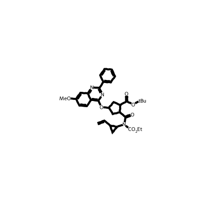 C=CC1CC1N(C(=O)OCC)C(=O)C1CC(Oc2nc(-c3ccccc3)nc3cc(OC)ccc23)CC1C(=O)OC(C)(C)C